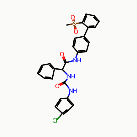 CS(=O)(=O)c1ccccc1-c1ccc(NC(=O)C(NC(=O)Nc2ccc(Cl)cc2)c2ccccc2)cc1